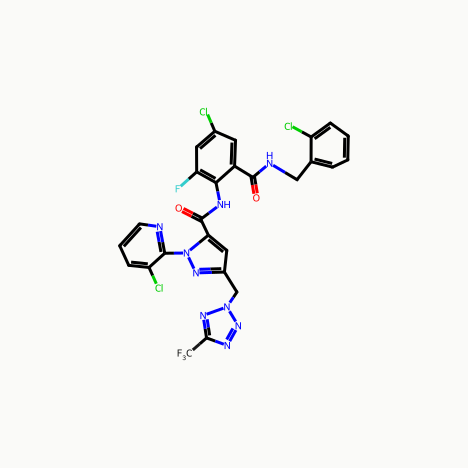 O=C(NCc1ccccc1Cl)c1cc(Cl)cc(F)c1NC(=O)c1cc(Cn2nnc(C(F)(F)F)n2)nn1-c1ncccc1Cl